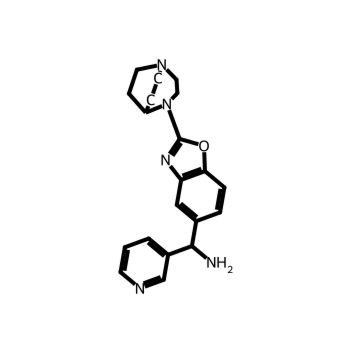 NC(c1cccnc1)c1ccc2oc(N3CCN4CCC3CC4)nc2c1